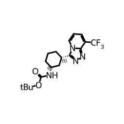 CC(C)(C)OC(=O)N[C@@H]1CCC[C@H](c2nnc3c(C(F)(F)F)cccn23)C1